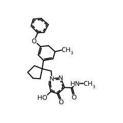 CNC(=O)c1nn(CC2(C3=CC(C)CC(Oc4ccccc4)=C3)CCCC2)cc(O)c1=O